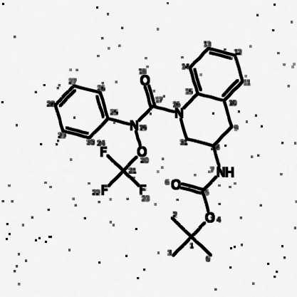 CC(C)(C)OC(=O)NC1Cc2ccccc2N(C(=O)N(OC(F)(F)F)c2ccccc2)C1